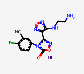 I.N#Cc1cc(-n2c(-c3nonc3NCCN)noc2=O)ccc1F